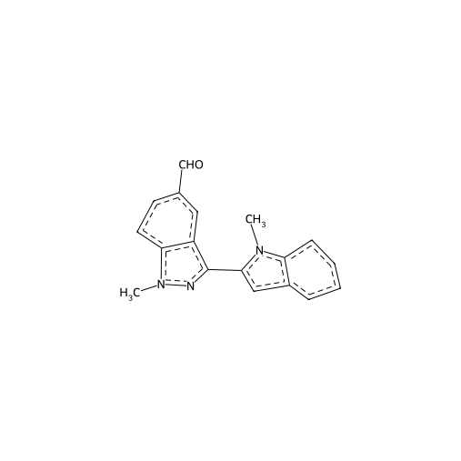 Cn1nc(-c2cc3ccccc3n2C)c2cc(C=O)ccc21